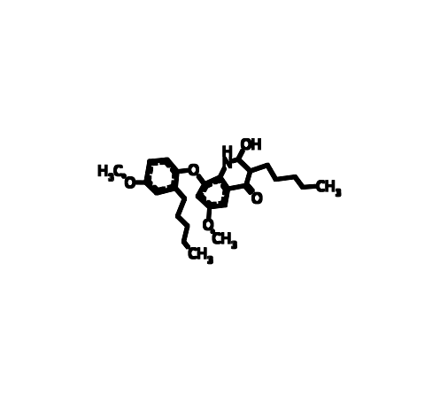 CCCCCc1cc(OC)ccc1Oc1cc(OC)cc2c1NC(O)C(CCCCC)C2=O